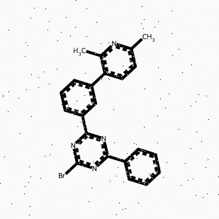 Cc1ccc(-c2cccc(-c3nc(Br)nc(-c4ccccc4)n3)c2)c(C)n1